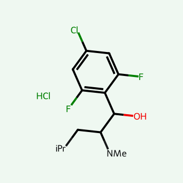 CNC(CC(C)C)C(O)c1c(F)cc(Cl)cc1F.Cl